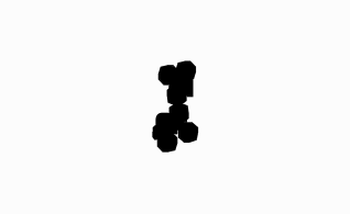 CC1(C)c2ccccc2-c2c1oc1c3cc(-c4ccc5c(c4)nc4c6ccccc6c6ccccc6n54)ccc3n(-c3ccccc3)c21